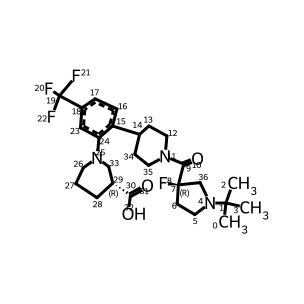 CC(C)(C)N1CC[C@](F)(C(=O)N2CCC(c3ccc(C(F)(F)F)cc3N3CCC[C@@H](C(=O)O)C3)CC2)C1